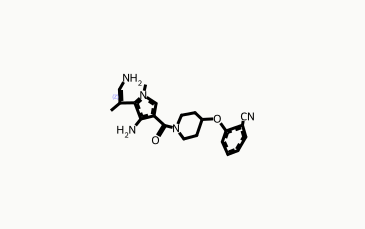 C/C(=C/N)c1c(N)c(C(=O)N2CCC(Oc3ccccc3C#N)CC2)cn1C